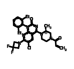 C=CC(=O)N1CCN(c2nc(=O)n(-c3c(CC)cccc3CC)c3nc(N4CC(F)(F)C4)c(Cl)cc23)[C@@H](C)C1